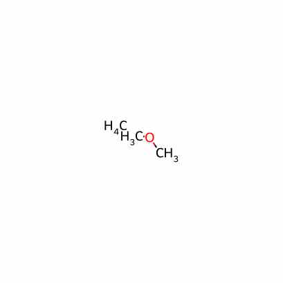 C.COC